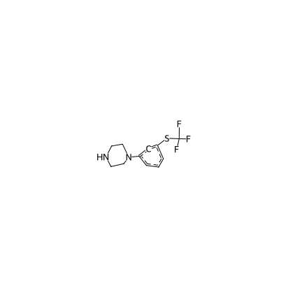 FC(F)(F)Sc1cccc(N2CCNCC2)c1